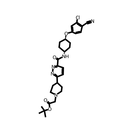 CC(C)(C)OC(=O)CN1CCC(c2ccc(C(=O)N[C@H]3CC[C@H](Oc4ccc(C#N)c(Cl)c4)CC3)nn2)CC1